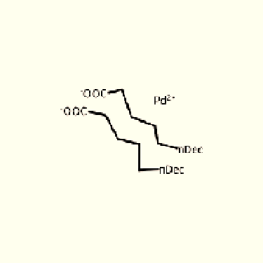 CCCCCCCCCCCCCCC(=O)[O-].CCCCCCCCCCCCCCC(=O)[O-].[Pd+2]